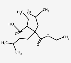 CCOC(=O)C(CCC(C)C)(CC(C)C)C(CC)C(=O)O